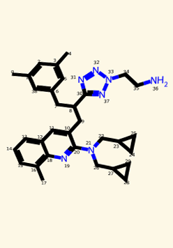 Cc1cc(C)cc(CC(Cc2cc3cccc(C)c3nc2N(CC2CC2)CC2CC2)c2nnn(CCN)n2)c1